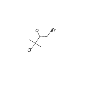 CC(C)CC([O])C(C)(C)Cl